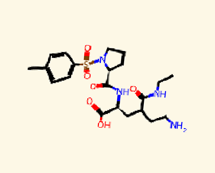 CCNC(=O)C(CCN)C[C@H](NC(=O)[C@@H]1CCCN1S(=O)(=O)c1ccc(C)cc1)C(=O)O